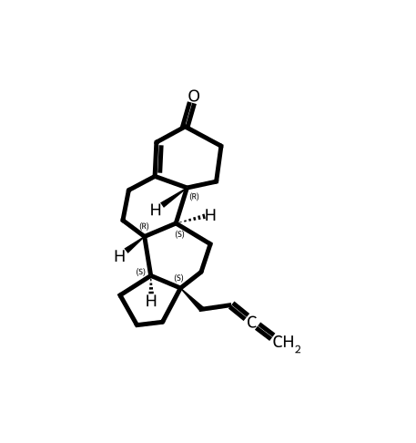 C=C=CC[C@@]12CCC[C@H]1[C@@H]1CCC3=CC(=O)CC[C@@H]3[C@H]1CC2